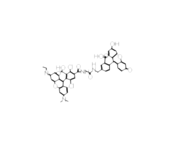 CC/N=c1\ccc2c(-c3c(Cl)cc(C(=O)NCC(=O)NCc4ccc(-c5c6ccc(=O)cc-6oc6cc(O)ccc56)c(C(=O)O)c4)c(Cl)c3C(=O)O)c3ccc(N(C)C)cc3oc-2c1